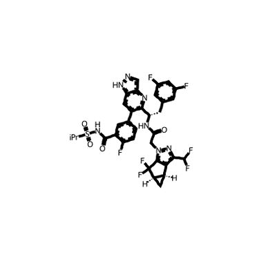 CC(C)S(=O)(=O)NC(=O)c1cc(-c2cc3[nH]ncc3nc2[C@H](Cc2cc(F)cc(F)c2)NC(=O)Cn2nc(C(F)F)c3c2C(F)(F)[C@@H]2C[C@H]32)ccc1F